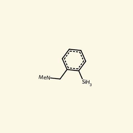 CNCc1ccccc1[SiH3]